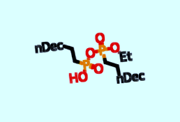 CCCCCCCCCCCCP(=O)(O)OP(=O)(CCCCCCCCCCCC)OCC